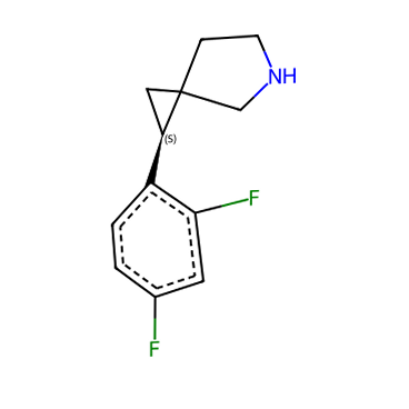 Fc1ccc([C@H]2CC23CCNC3)c(F)c1